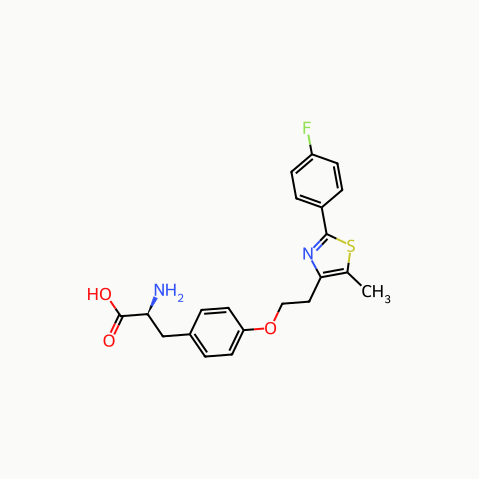 Cc1sc(-c2ccc(F)cc2)nc1CCOc1ccc(C[C@H](N)C(=O)O)cc1